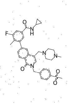 Cc1c(F)cc(C(=O)NC2CC2)cc1-c1ccc2c(=O)n(Cc3ccc(S(C)(=O)=O)cc3)cc(CN3CCN(C)CC3)c2c1